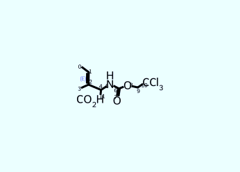 C/C=C(\C)C(NC(=O)OCC(Cl)(Cl)Cl)C(=O)O